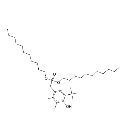 CCCCCCCCSCCOP(=O)(Cc1cc(C(C)(C)C)c(O)c(C)c1C)OCCSCCCCCCCC